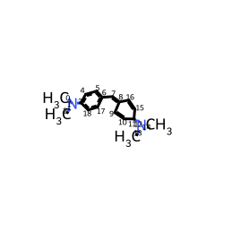 CN(C)c1ccc(C=C2C=CC(N(C)C)C=C2)cc1